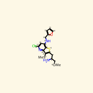 COCC(N)Cc1sc2c(NCc3ccco3)cc(Cl)nc2c1SC